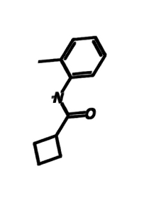 Cc1ccccc1[N]C(=O)C1CCC1